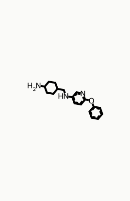 NC1CCC(CNc2ccc(Oc3ccccc3)nc2)CC1